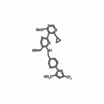 COc1ncnc(C2CC2)c1-c1ncc(C=N)c(NCc2ccc(-n3nc(C(F)(F)F)cc3C(=O)O)cc2)n1